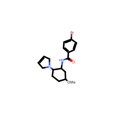 COC1CCC(N2CC=CC2)C(NC(=O)c2ccc(Br)cc2)C1